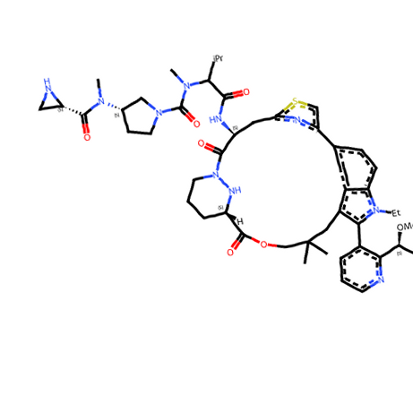 CCn1c(-c2cccnc2[C@H](C)OC)c2c3cc(ccc31)-c1csc(n1)C[C@H](NC(=O)C(C(C)C)N(C)C(=O)N1CC[C@H](N(C)C(=O)[C@@H]3CN3)C1)C(=O)N1CCC[C@H](N1)C(=O)OCC(C)(C)C2